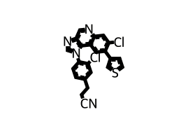 N#CCCc1ccc(-n2cnc3cnc4cc(Cl)c(-c5ccsc5)cc4c32)c(Cl)c1